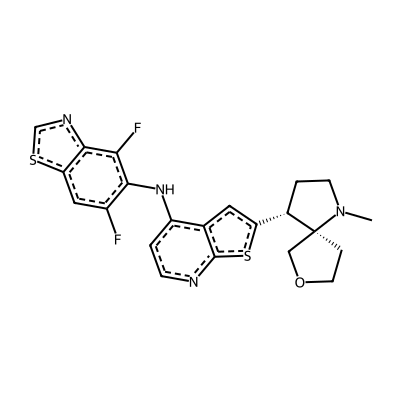 CN1CC[C@@H](c2cc3c(Nc4c(F)cc5scnc5c4F)ccnc3s2)[C@@]12CCOC2